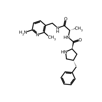 Cc1nc(N)ccc1CNC(=O)[C@H](C)NC(=O)[C@H]1C[C@H](Cc2ccccc2)CN1